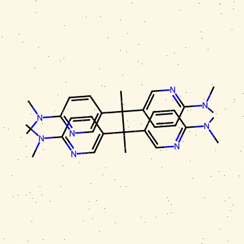 CN(C)c1ccc(C(C)(c2ccc(N(C)C)nc2)C(C)(c2ccc(N(C)C)nc2)c2ccc(N(C)C)nc2)cn1